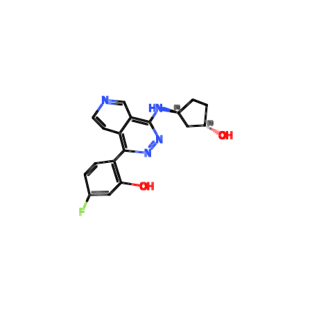 Oc1cc(F)ccc1-c1nnc(N[C@H]2CC[C@H](O)C2)c2cnccc12